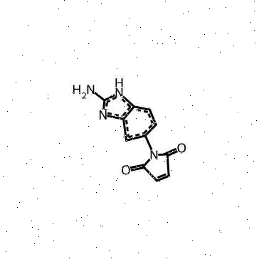 Nc1nc2cc(N3C(=O)C=CC3=O)ccc2[nH]1